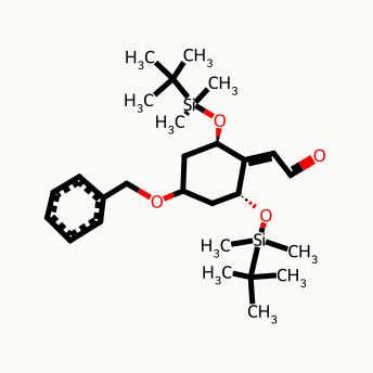 CC(C)(C)[Si](C)(C)O[C@@H]1CC(OCc2ccccc2)C[C@@H](O[Si](C)(C)C(C)(C)C)C1=CC=O